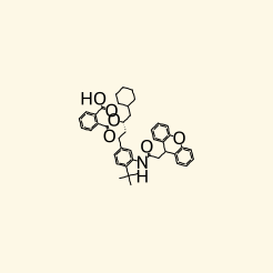 CC(C)(C)c1ccc(CC[C@@H](CC2CCCCC2)OC(=O)c2ccccc2C(=O)O)cc1NC(=O)CC1c2ccccc2Oc2ccccc21